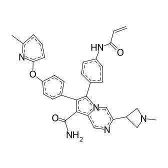 C=CC(=O)Nc1ccc(-c2c(-c3ccc(Oc4cccc(C)n4)cc3)c(C(N)=O)c3cnc(C4CN(C)C4)cn23)cc1